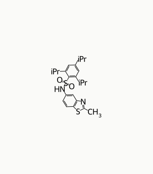 Cc1nc2cc(NS(=O)(=O)c3c(C(C)C)cc(C(C)C)cc3C(C)C)ccc2s1